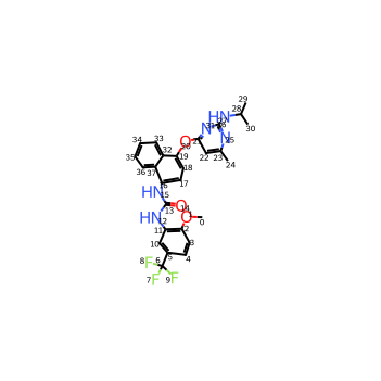 COc1ccc(C(F)(F)F)cc1NC(=O)Nc1ccc(Oc2cc(C)nc(NC(C)C)n2)c2ccccc12